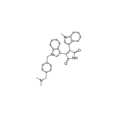 CN(C)Cc1ccc(Cn2cc(C3=C(c4cn(C)c5ccccc45)C(=O)NC3=O)c3ccccc32)cc1